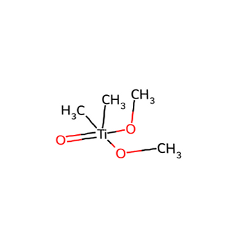 C[O][Ti]([CH3])([CH3])(=[O])[O]C